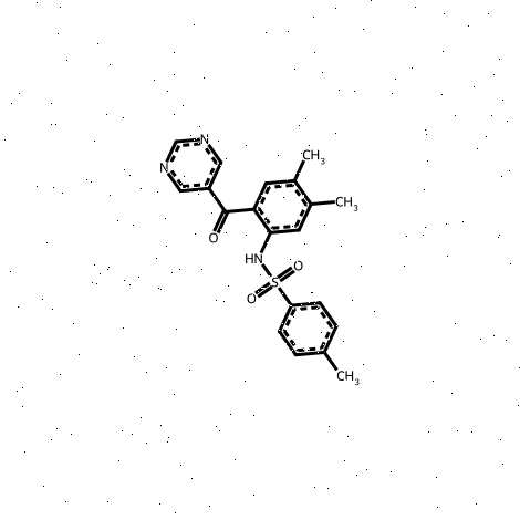 Cc1ccc(S(=O)(=O)Nc2cc(C)c(C)cc2C(=O)c2cncnc2)cc1